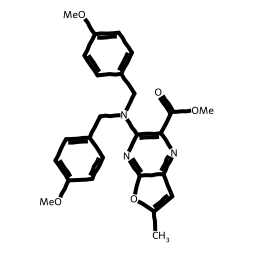 COC(=O)c1nc2cc(C)oc2nc1N(Cc1ccc(OC)cc1)Cc1ccc(OC)cc1